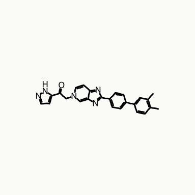 Cc1ccc(-c2ccc(-c3nc4ccn(CC(=O)c5ccn[nH]5)cc-4n3)cc2)cc1C